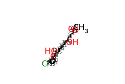 COC(=O)CCCCC(O)C=CC=CC=CC(O)COc1cccc(Cl)c1